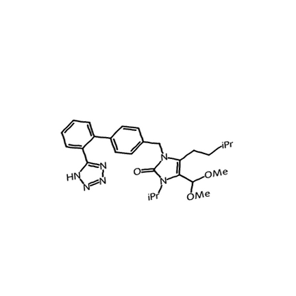 COC(OC)c1c(CCC(C)C)n(Cc2ccc(-c3ccccc3-c3nnn[nH]3)cc2)c(=O)n1C(C)C